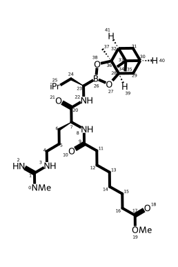 CNC(=N)NCCC[C@H](NC(=O)CCCCCCC(=O)OC)C(=O)N[C@@H](CC(C)C)B1O[C@@H]2C[C@@H]3C[C@@H](C3(C)C)[C@]2(C)O1